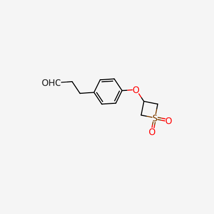 O=CCCc1ccc(OC2CS(=O)(=O)C2)cc1